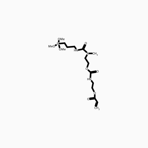 C=CC(=O)OCCNC(=O)OCCN(C)C(=O)NCCC[Si](OC)(OC)OC